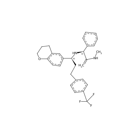 C=C(NC)[C@@H](N[C@@H](CCc1ccc(C(F)(F)F)cc1)c1ccc2c(c1)CCCO2)c1ccccc1